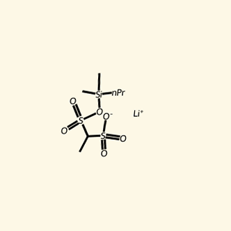 CCC[Si](C)(C)OS(=O)(=O)C(C)S(=O)(=O)[O-].[Li+]